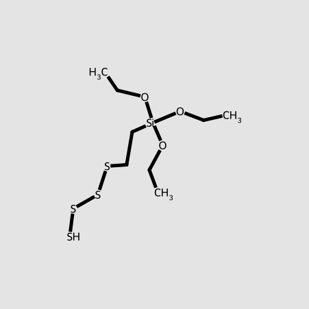 CCO[Si](CCSSSS)(OCC)OCC